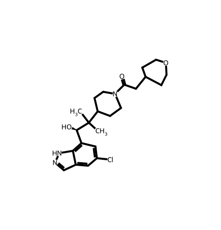 CC(C)(C1CCN(C(=O)CC2CCOCC2)CC1)[C@H](O)c1cc(Cl)cc2cn[nH]c12